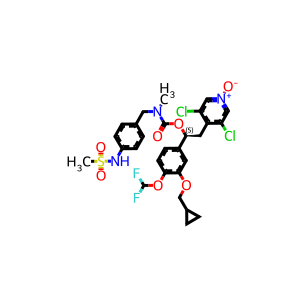 CN(Cc1ccc(NS(C)(=O)=O)cc1)C(=O)O[C@@H](Cc1c(Cl)c[n+]([O-])cc1Cl)c1ccc(OC(F)F)c(OCC2CC2)c1